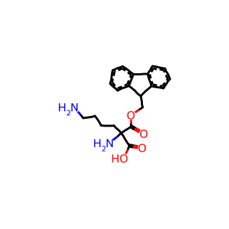 NCCCCC(N)(C(=O)O)C(=O)OCC1c2ccccc2-c2ccccc21